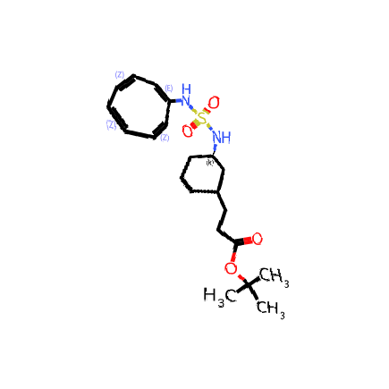 CC(C)(C)OC(=O)CCC1CCC[C@@H](NS(=O)(=O)NC2=C/C=C\C=C/C=C\2)C1